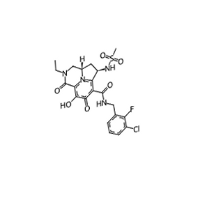 CCN1C[C@@H]2C[C@@H](NS(C)(=O)=O)c3c(C(=O)NCc4cccc(Cl)c4F)c(=O)c(O)c(n32)C1=O